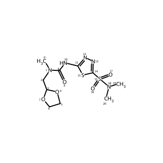 CN(CC1OCCO1)C(=O)Nc1nnc(S(=O)(=O)N(C)C)s1